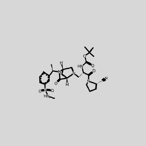 CNS(=O)(=O)c1cccc([C@@H](C)N2C(=O)[C@@H]3C[C@H]2CN3C[C@H](NC(=O)OC(C)(C)C)C(=O)N2CCC[C@H]2C#N)c1